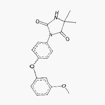 COc1cccc(Oc2ccc(N3C(=O)NC(C)(C)C3=O)cc2)c1